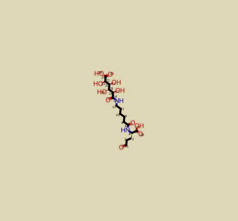 O=[C]CC[C@H](NC(=O)CCCCCNC(=O)[C@H](O)[C@H](O)[C@H](O)[C@@H](O)C(=O)O)C(=O)O